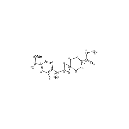 COC(=O)c1ccc2c(cnn2C2CC3(CCN(C(=O)OC(C)(C)C)CC3)C2)c1